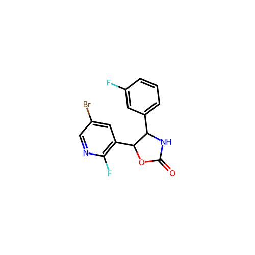 O=C1NC(c2cccc(F)c2)C(c2cc(Br)cnc2F)O1